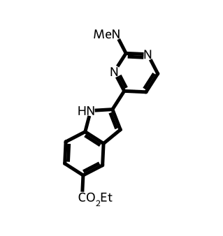 CCOC(=O)c1ccc2[nH]c(-c3ccnc(NC)n3)cc2c1